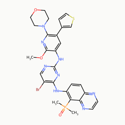 COc1nc(N2CCOCC2)c(-c2ccsc2)cc1Nc1ncc(Br)c(Nc2ccc3nccnc3c2P(C)(C)=O)n1